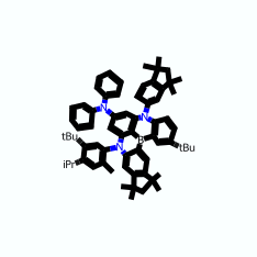 Cc1cc(C(C)C)c(C(C)(C)C)cc1N1c2cc3c(cc2B2c4cc(C(C)(C)C)ccc4N(c4ccc5c(c4)C(C)(C)CC5(C)C)c4cc(N(c5ccccc5)c5ccccc5)cc1c42)C(C)(C)CC3(C)C